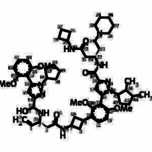 C=C[C@@H](CC(=O)NC1CC(c2ccc(OC)c(-c3cc(C(=O)N[C@@H](CCN4CCCCC4)CC(=O)NC4CCC4)nn3C3CCC(C)C3C)c2OC)C1)NC(O)c1cc(-c2c(OC)cccc2OC)n(C2CCCC2)n1